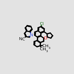 CC1(C)CC=CC2=C1CC(=O)c1c2ccc2cc(Cl)cc(C3CCCC3)c12.N#Cc1cnc2ccccc2c1